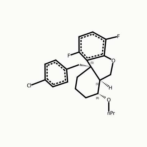 CCCO[C@@H]1CCC[C@@]2(Cc3ccc(Cl)cc3)c3c(F)ccc(F)c3OC[C@@H]12